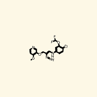 COc1ccncc1OC/C(=C/Nc1ccc(Cl)c(OC(F)F)c1)N=N